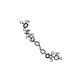 CC1(C)C(NC(=O)c2ncc(N3CCC(CCN4CCN(c5ccc6c(c5)C(=O)N(C5CCC(=O)NC5=O)C6=O)CC4)CC3)cn2)C(C)(C)C1Oc1ccc(C#N)c(Cl)c1